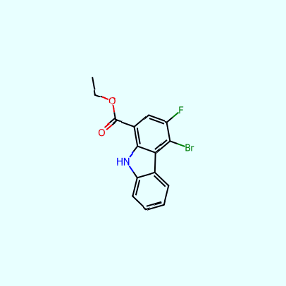 CCOC(=O)c1cc(F)c(Br)c2c1[nH]c1ccccc12